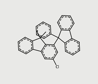 CC1(C)c2ccccc2-c2cc(Cl)cc(C3(c4ccccc4)c4ccccc4-c4ccccc43)c21